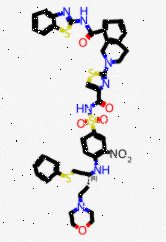 O=C(NS(=O)(=O)c1ccc(N[C@H](CCN2CCOCC2)CSc2ccccc2)c([N+](=O)[O-])c1)c1csc(N2CCc3cccc(C(=O)Nc4nc5ccccc5s4)c3C2)n1